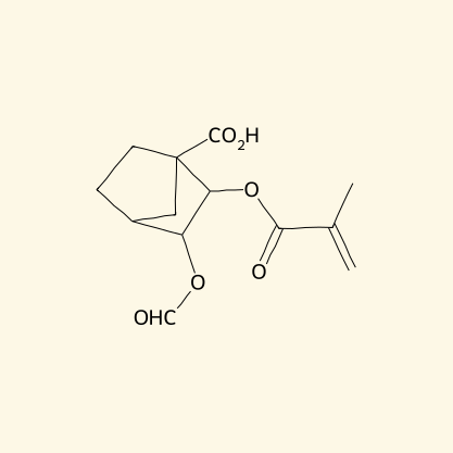 C=C(C)C(=O)OC1C(OC=O)C2CCC1(C(=O)O)C2